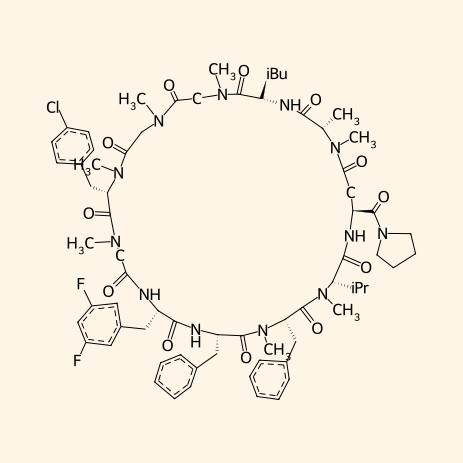 CC[C@H](C)[C@@H]1NC(=O)[C@H](C)N(C)C(=O)C[C@@H](C(=O)N2CCCC2)NC(=O)[C@H](C(C)C)N(C)C(=O)[C@H](Cc2ccccc2)N(C)C(=O)[C@H](Cc2ccccc2)NC(=O)[C@H](Cc2cc(F)cc(F)c2)NC(=O)CN(C)C(=O)[C@H](Cc2ccc(Cl)cc2)N(C)C(=O)CN(C)C(=O)CN(C)C1=O